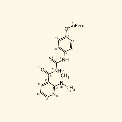 CCCCCOc1ccc(NC(=S)NC(=O)c2cccnc2N(C)C)cc1